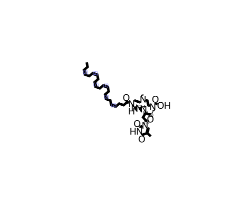 CC/C=C\C/C=C\C/C=C\C/C=C\C/C=C\C/C=C\CCC(=O)NCCN(C)CCN(C[C@@H]1O[C@H](n2cc(C)c(=O)[nH]c2=O)C[C@@H]1N=[N+]=[N-])C(=O)O